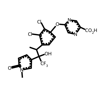 CC(c1ccc(Oc2cnc(C(=O)O)cn2)c(Cl)c1Cl)C(O)(c1ccc(=O)n(C)c1)C(F)(F)F